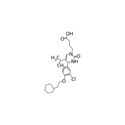 CC(C)C1=CN(CCCC(=O)O)C(=O)NC1c1ccc(OCCC2CCCCC2)c(Cl)c1